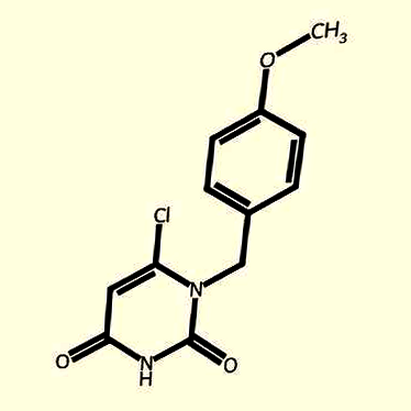 COc1ccc(Cn2c(Cl)cc(=O)[nH]c2=O)cc1